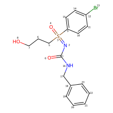 O=C(N=S(=O)(CCCO)c1ccc(Br)cc1)NCc1ccccc1